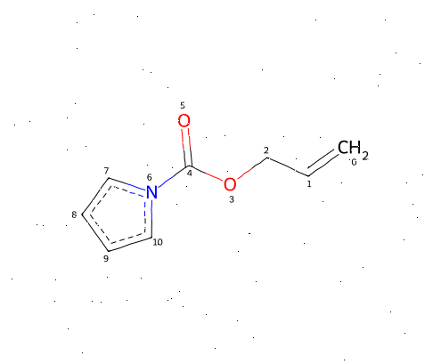 C=CCOC(=O)n1cccc1